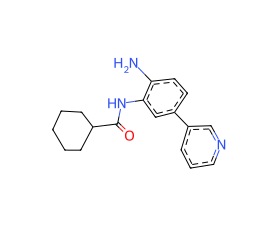 Nc1ccc(-c2cccnc2)cc1NC(=O)C1CCCCC1